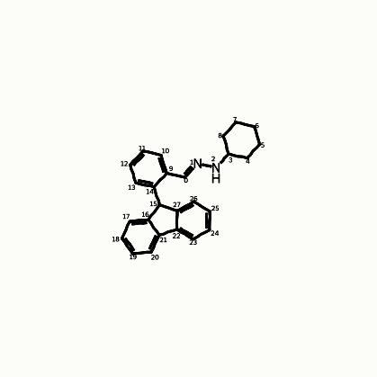 C(=N\NC1CCCCC1)/c1ccccc1C1c2ccccc2-c2ccccc21